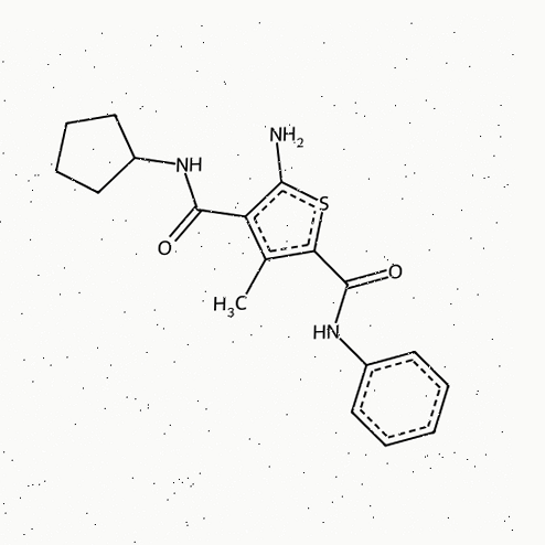 Cc1c(C(=O)Nc2ccccc2)sc(N)c1C(=O)NC1CCCC1